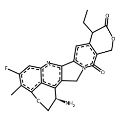 CCC1C(=O)OCc2c1cc1n(c2=O)Cc2c-1nc1cc(F)c(C)c3c1c2[C@@H](N)CC3